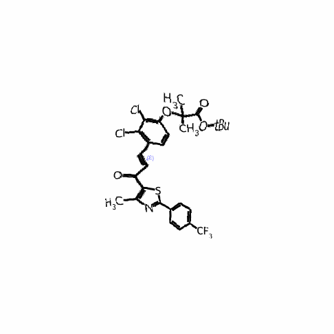 Cc1nc(-c2ccc(C(F)(F)F)cc2)sc1C(=O)/C=C/c1ccc(OC(C)(C)C(=O)OC(C)(C)C)c(Cl)c1Cl